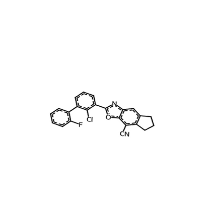 N#Cc1c2c(cc3nc(-c4cccc(-c5ccccc5F)c4Cl)oc13)CCC2